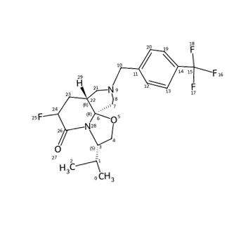 CC(C)[C@H]1CO[C@]23CCN(Cc4ccc(C(F)(F)F)cc4)C[C@H]2CC(F)C(=O)N13